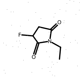 CCN1C(=O)CC(F)C1=O